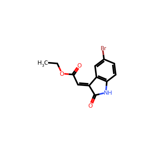 CCOC(=O)/C=C1/C(=O)Nc2ccc(Br)cc21